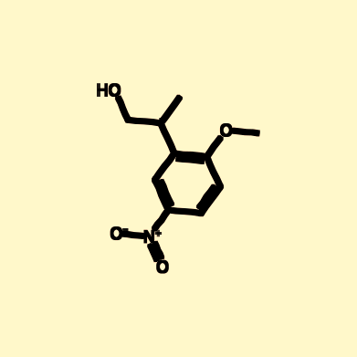 COc1ccc([N+](=O)[O-])cc1[C](C)CO